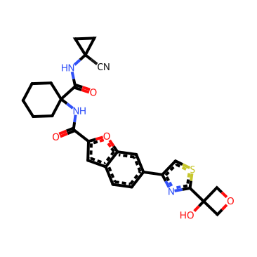 N#CC1(NC(=O)C2(NC(=O)c3cc4ccc(-c5csc(C6(O)COC6)n5)cc4o3)CCCCC2)CC1